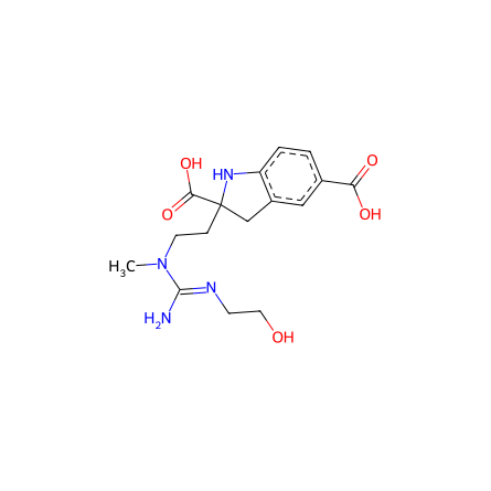 CN(CCC1(C(=O)O)Cc2cc(C(=O)O)ccc2N1)C(N)=NCCO